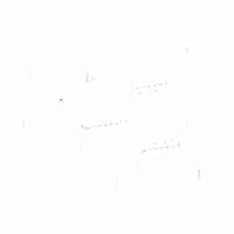 O=C(c1cc(Br)cc(Br)c1O)C(Br)(Br)Br